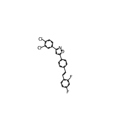 Fc1ccc(/C=C/c2ccc(-c3cc(-c4ccc(Cl)c(Cl)c4)no3)cc2)c(F)c1